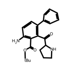 CC(C)(C)OC(=O)c1c(N)ccc(-c2ccccc2)c1C(=O)C1CCCN1